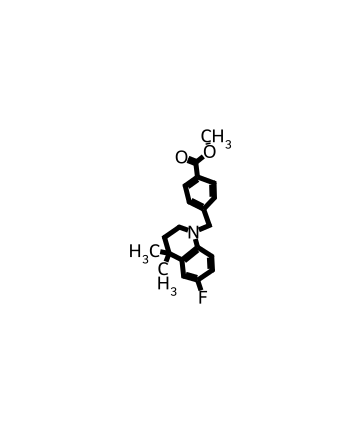 COC(=O)c1ccc(CN2CCC(C)(C)c3cc(F)ccc32)cc1